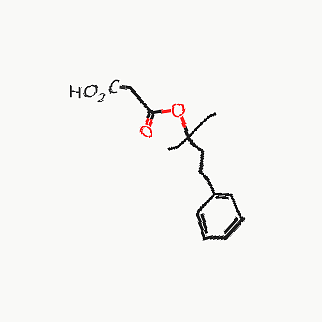 CC(C)(CCc1ccccc1)OC(=O)CC(=O)O